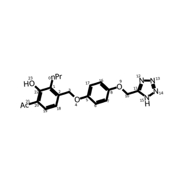 CCCc1c(COc2ccc(OCc3nnn[nH]3)cc2)ccc(C(C)=O)c1O